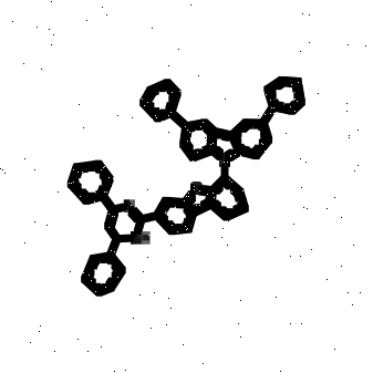 C1=C(c2ccccc2)N=C(c2ccc3c(c2)oc2c(-n4c5ccc(-c6ccccc6)cc5c5cc(-c6ccccc6)ccc54)cccc23)NC1c1ccccc1